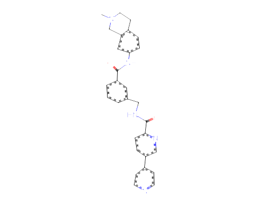 CN1CCc2ccc(NC(=O)c3cccc(CNC(=O)c4ccc(-c5ccncc5)cn4)c3)cc2C1